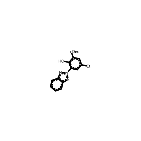 CCCCCCCCCCc1cc(CC)cc(-n2nc3ccccc3n2)c1O